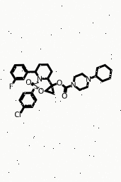 O=C(OC1(C2CCCC(c3cccc(F)c3)N2S(=O)(=O)c2ccc(Cl)cc2)CC1)N1CCN(C2CCCCC2)CC1